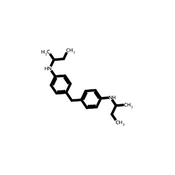 CCC(C)Nc1ccc(Cc2ccc(NC(C)CC)cc2)cc1